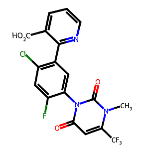 Cn1c(C(F)(F)F)cc(=O)n(-c2cc(-c3ncccc3C(=O)O)c(Cl)cc2F)c1=O